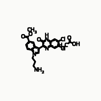 CC(=O)O.COC(=O)c1ccc2c(c1)c(-c1nc3cc(Cl)c(Cl)cc3[nH]c1=O)cn2CCCN